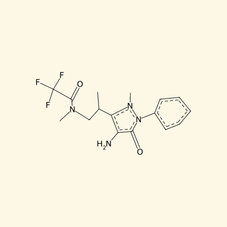 CC(CN(C)C(=O)C(F)(F)F)c1c(N)c(=O)n(-c2ccccc2)n1C